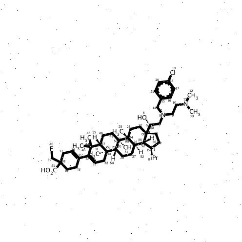 CC(C)[C@@H]1CC[C@]2([C@H](O)CN(CCN(C)C)Cc3ccc(Cl)cc3)CC[C@]3(C)[C@H](CC[C@@H]4[C@@]5(C)CC=C(C6=CCC(CF)(C(=O)O)CC6)C(C)(C)[C@@H]5CC[C@]43C)[C@@H]12